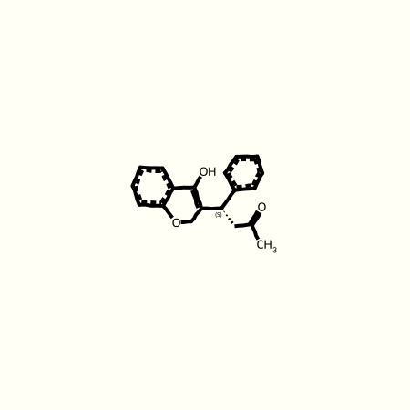 CC(=O)C[C@H](C1=C(O)c2ccccc2OC1)c1ccccc1